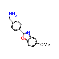 COc1ccc2oc(-c3ccc(CN)cc3)nc2c1